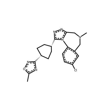 Cc1nc([C@H]2CC[C@@H](c3nnc4n3-c3ccc(Cl)cc3CN(C)C4)CC2)no1